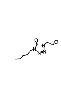 CCCCCn1nnn(CCCl)c1=O